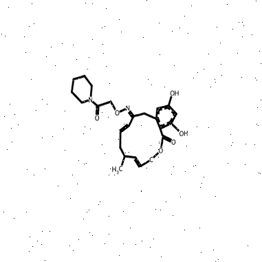 CC1/C=C/COC(=O)c2c(O)cc(O)cc2CC(=N/OCC(=O)N2CCCCC2)/C=C/C1